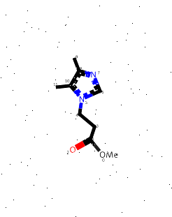 COC(=O)CCn1[c]nc(C)c1C